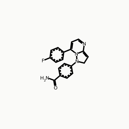 NC(=O)c1ccc(N2CC=C3N=CC=C(c4ccc(F)cc4)N32)cc1